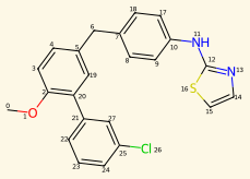 COc1ccc(Cc2ccc(Nc3nccs3)cc2)cc1-c1cccc(Cl)c1